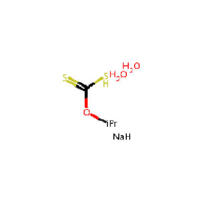 CC(C)OC(=S)S.O.O.[NaH]